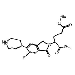 CC(C)(C)OC(=O)CCC(C(N)=O)N1Cc2cc(C3CCNCC3)c(F)cc2C1=O